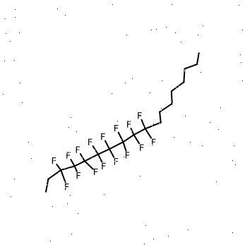 CCCCCCCCC(F)(F)C(F)(F)C(F)(F)C(F)(F)C(F)(F)C(F)(F)C(F)(F)C(F)(F)CC